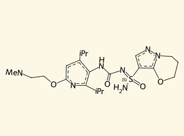 CNCCOc1cc(C(C)C)c(NC(=O)N=[S@](N)(=O)c2cnn3c2OCCC3)c(C(C)C)n1